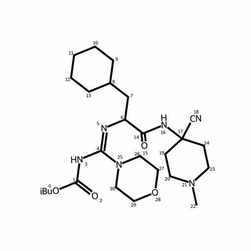 CC(C)COC(=O)N/C(=N/C(CC1CCCCC1)C(=O)NC1(C#N)CCN(C)CC1)N1CCOCC1